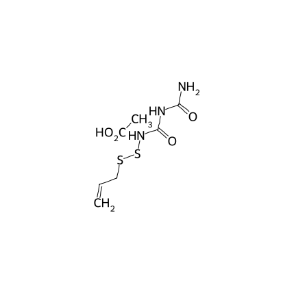 C=CCSSNC(=O)NC(N)=O.CC(=O)O